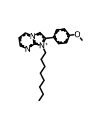 CCCCCCCC[n+]1c(-c2ccc(OC)cc2)cn2cccnc21